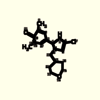 Cc1cc(C2NC(Cl)=CN2CC2CCOCC2)cn(C)c1=O